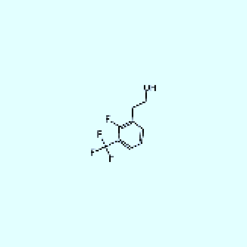 OCCc1cccc(C(F)(F)F)c1F